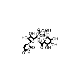 NC(=O)C1O[C@H](OP(=O)(O)OP(=O)(O)OCC2OC(n3ccc(=O)[nH]c3=O)C(O)C2O)[C@@H](O)[C@H](O)C1O